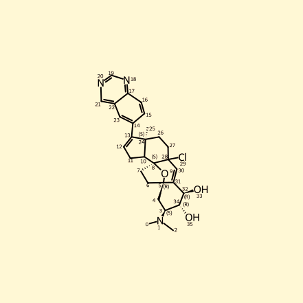 CN(C)[C@H]1C[C@@]23CC[C@]4(O2)C2CC=C(c5ccc6ncncc6c5)[C@@]2(C)CCC4(Cl)C=C3[C@@H](O)[C@@H]1O